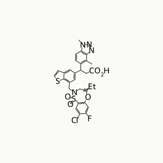 CC[C@@H]1CN(Cc2cc(C(CC(=O)O)c3ccc4c(nnn4C)c3C)cc3ccsc23)S(=O)(=O)c2cc(Cl)c(F)cc2O1